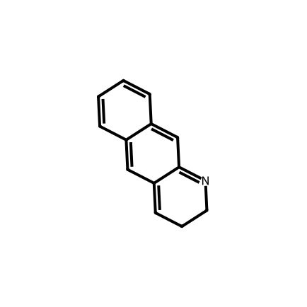 C1=c2cc3ccccc3cc2=NCC1